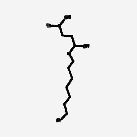 CCN(O)CCC(O)OCCCCCCCC(C)C